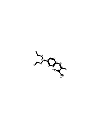 CCCN(CCC)c1ccc(C=C(C)C(=O)O)cc1